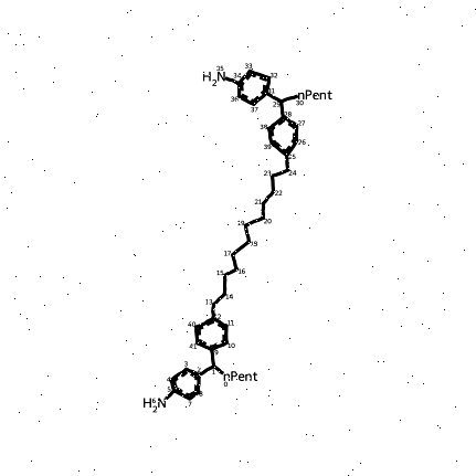 CCCCCC(c1ccc(N)cc1)c1ccc(CCCCCCCCCCCCc2ccc(C(CCCCC)c3ccc(N)cc3)cc2)cc1